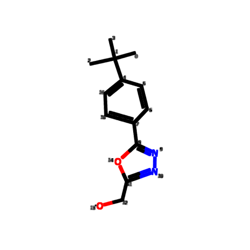 CC(C)(C)c1ccc(-c2nnc(C[O])o2)cc1